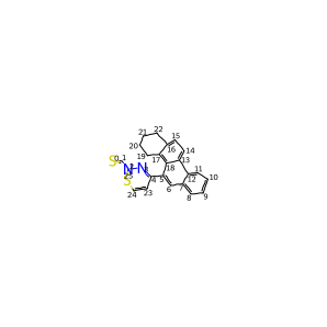 S=CN1N=C(c2cc3ccccc3c3ccc4c(c23)CCCC4)C=CS1